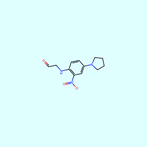 O=CCNc1ccc(N2CCCC2)cc1[N+](=O)[O-]